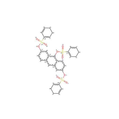 O=S(=O)(Oc1ccc2c(OS(=O)(=O)C3=CCCC=C3)c3cc(OS(=O)(=O)C4=CCCC=C4)ccc3cc2c1)C1=CCCC=C1